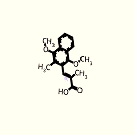 COc1c(C)c(/C=C(\C)C(=O)O)c(OC)c2ccccc12